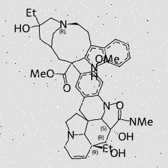 CCC1(O)CC2C[N@](CCc3c([nH]c4ccccc34)C(C(=O)OC)(c3cc4c(cc3OC)N(C)C3C5(CCN6CC=C[C@](CC)(C65)[C@@H](O)[C@]3(O)C(=O)NC)C4)C2)C1